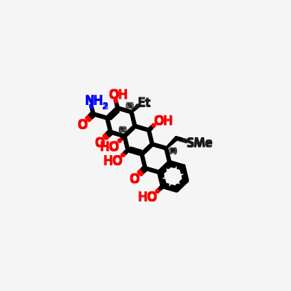 CC[C@@H]1C(O)=C(C(N)=O)C(=O)[C@@]2(O)C(O)=C3C(=O)c4c(O)cccc4[C@H](CSC)C3C(O)C12